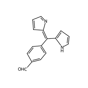 O=Cc1ccc(/C(=C2\C=CC=N2)c2ccc[nH]2)cc1